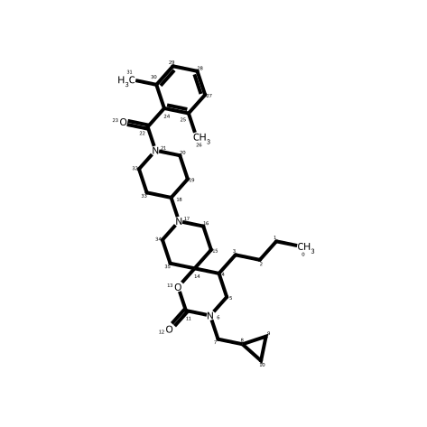 CCCCC1CN(CC2CC2)C(=O)OC12CCN(C1CCN(C(=O)c3c(C)cccc3C)CC1)CC2